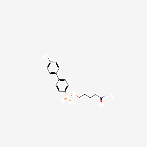 CC(=O)c1ccc(-c2ccc(S(=O)(=O)OCCCCC(N)=O)cc2)cc1